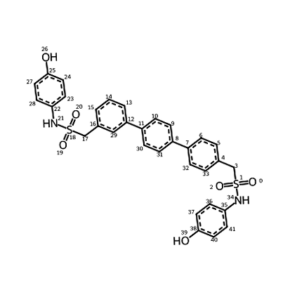 O=S(=O)(Cc1ccc(-c2ccc(-c3cccc(CS(=O)(=O)Nc4ccc(O)cc4)c3)cc2)cc1)Nc1ccc(O)cc1